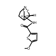 COc1ccc(C(=O)N[C@H]2CN3CCC2CC3)s1